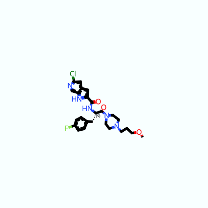 COCCCN1CCN(C(=O)[C@H](Cc2ccc(F)cc2)NC(=O)c2cc3cc(Cl)ncc3[nH]2)CC1